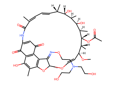 CO[C@H]1/C=C/O[C@@]2(C)Oc3c(C)c(O)c4c(c3/C2=N/OCCN(CCO)CCO)C(=O)C=C(NC(=O)/C(C)=C\C=C\[C@H](C)[C@H](O)[C@@H](C)[C@@H](O)[C@@H](C)[C@H](OC(C)=O)[C@@H]1C)C4=O